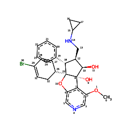 COc1cncc2c1[C@]1(O)[C@H](O)[C@H](CNC3CC3)[C@@H](c3ccccc3)[C@]1(C1C=CC(Br)=CC1)O2